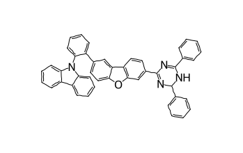 c1ccc(C2=NC(c3ccc4c(c3)oc3ccc(-c5ccccc5-n5c6ccccc6c6ccccc65)cc34)=NC(c3ccccc3)N2)cc1